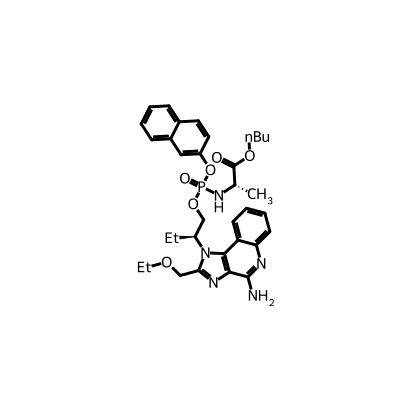 CCCCOC(=O)[C@H](C)NP(=O)(OC[C@H](CC)n1c(COCC)nc2c(N)nc3ccccc3c21)Oc1ccc2ccccc2c1